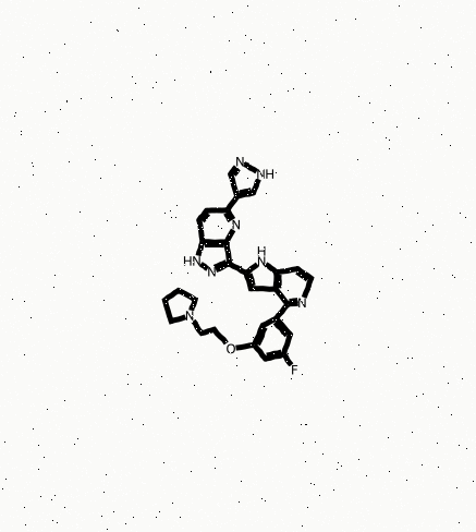 Fc1cc(OCCN2CCCC2)cc(-c2nccc3[nH]c(-c4n[nH]c5ccc(-c6cn[nH]c6)nc45)cc23)c1